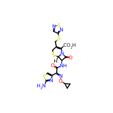 Nc1nc(C(=NOC2CC2)C(=O)N[C@@H]2C(=O)N3C(C(=O)O)=C(CSc4cnsn4)CS[C@@H]23)cs1